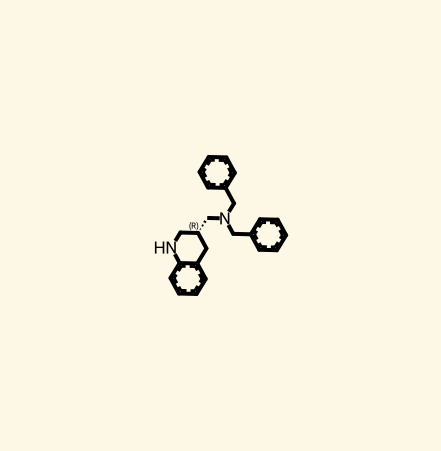 c1ccc(CN(Cc2ccccc2)C[C@H]2CNc3ccccc3C2)cc1